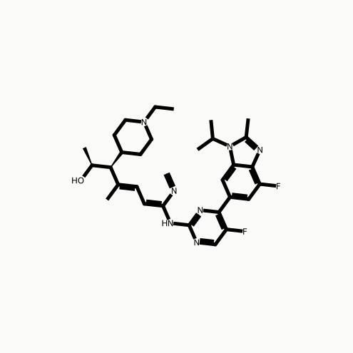 C=N/C(=C\C=C(/C)[C@H](C1CCN(CC)CC1)[C@H](C)O)Nc1ncc(F)c(-c2cc(F)c3nc(C)n(C(C)C)c3c2)n1